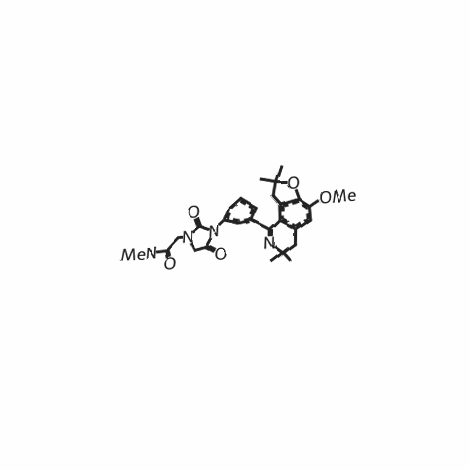 CNC(=O)CN1CC(=O)N(c2cccc(C3=NC(C)(C)Cc4cc(OC)c5c(c43)CC(C)(C)O5)c2)C1=O